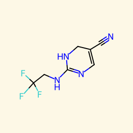 N#CC1=CN=C(NCC(F)(F)F)NC1